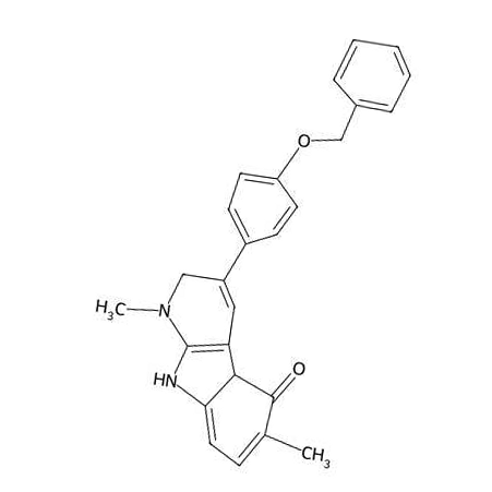 CC1=CC=C2NC3=C(C=C(c4ccc(OCc5ccccc5)cc4)CN3C)C2C1=O